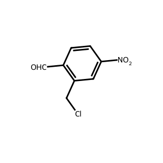 O=Cc1ccc([N+](=O)[O-])cc1CCl